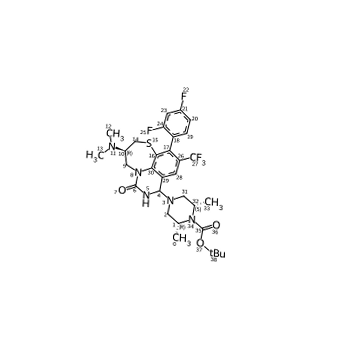 C[C@@H]1CN(C2NC(=O)N3C[C@@H](N(C)C)CSc4c(-c5ccc(F)cc5F)c(C(F)(F)F)cc2c43)C[C@H](C)N1C(=O)OC(C)(C)C